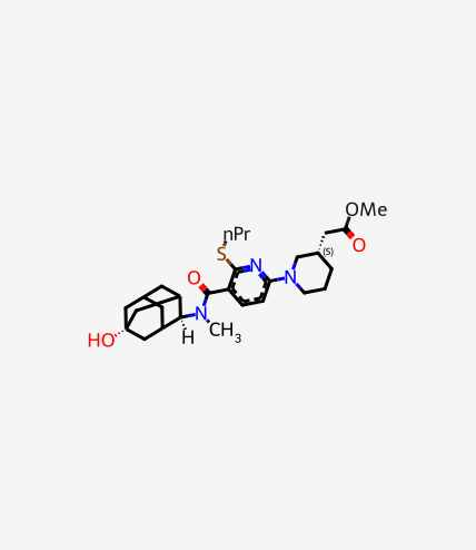 CCCSc1nc(N2CCC[C@@H](CC(=O)OC)C2)ccc1C(=O)N(C)[C@H]1C2CC3CC1C[C@](O)(C3)C2